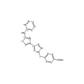 COc1ccc(Cn2cc(-c3csc(Nc4ccccn4)n3)cn2)cc1